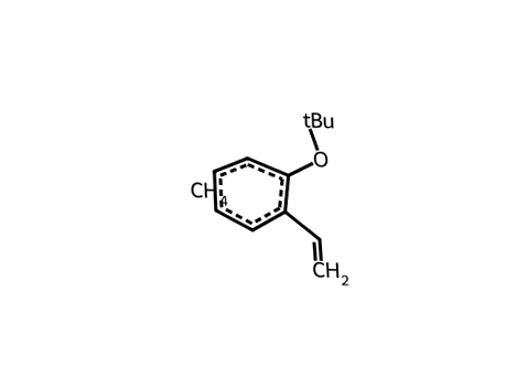 C.C=Cc1ccccc1OC(C)(C)C